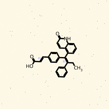 CC/C(=C(/c1ccc(/C=C/C(=O)O)cc1)c1cccc2[nH]c(=O)ccc12)c1ccccc1